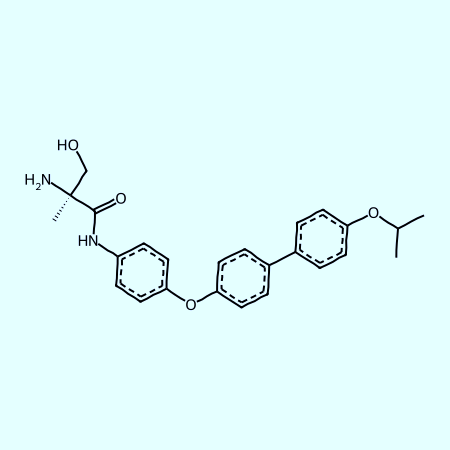 CC(C)Oc1ccc(-c2ccc(Oc3ccc(NC(=O)[C@@](C)(N)CO)cc3)cc2)cc1